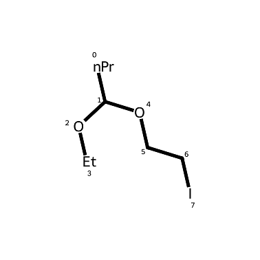 CCCC(OCC)OCCI